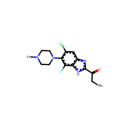 CCN1CCN(c2c(Cl)cc3nc(C(=O)CC(C)(C)C)[nH]c3c2F)CC1